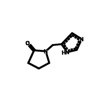 O=C1CCCN1Cc1cnc[nH]1